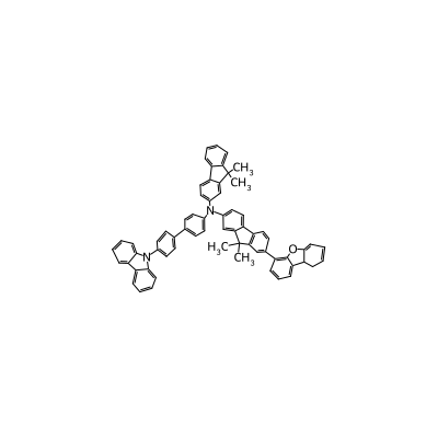 CC1(C)c2ccccc2-c2ccc(N(c3ccc(-c4ccc(-n5c6ccccc6c6ccccc65)cc4)cc3)c3ccc4c(c3)C(C)(C)c3cc(-c5cccc6c5OC5=CC=CCC56)ccc3-4)cc21